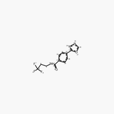 O=C(NCCC(F)(F)F)c1ccc(-c2nnco2)cc1